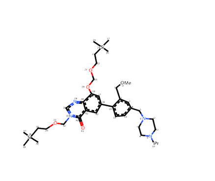 COCc1cc(CN2CCN(C(C)C)CC2)ccc1-c1cc(OCOCC[Si](C)(C)C)c2ncn(COCC[Si](C)(C)C)c(=O)c2c1